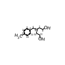 Cc1ccc(CN(CCO)CCO)cc1